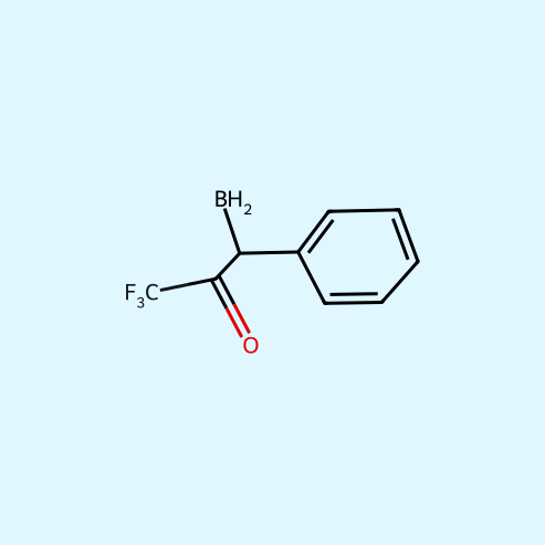 BC(C(=O)C(F)(F)F)c1ccccc1